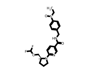 CC[S+]([O-])c1ccc(CNC(=O)c2ccc(N3CCC[C@H]3COC(F)F)nc2)cc1